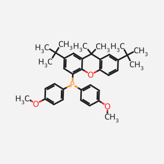 COc1ccc(P(c2ccc(OC)cc2)c2cc(C(C)(C)C)cc3c2Oc2ccc(C(C)(C)C)cc2C3(C)C)cc1